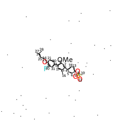 COc1cc(-c2ccc(OS(C)(=O)=O)cc2)c(C)cc1-c1ccc(OCC=C(C)C)c(F)c1